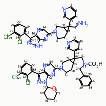 NCC1(c2cccnc2)C2CCN(c3cnc4c(-c5cccc(Cl)c5Cl)n[nH]c4n3)CC21.O=C(O)N(Cc1ccccc1)CC1(c2cccnc2)C2CCN(c3cnc4c(-c5cccc(Cl)c5Cl)nn(C5CCCCO5)c4n3)CC21